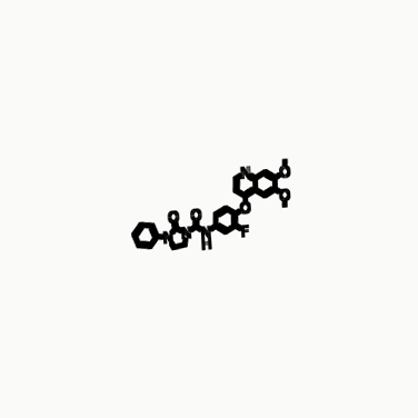 COc1cc2nccc(Oc3ccc(NC(=O)N4CCN(c5ccccc5)C4=O)cc3F)c2cc1OC